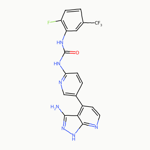 Nc1n[nH]c2nccc(-c3ccc(NC(=O)Nc4cc(C(F)(F)F)ccc4F)nc3)c12